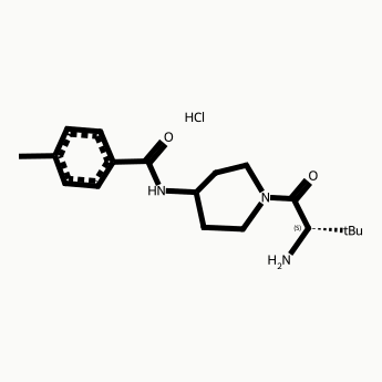 Cc1ccc(C(=O)NC2CCN(C(=O)[C@@H](N)C(C)(C)C)CC2)cc1.Cl